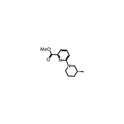 COC(=O)c1cccc(N2CCC[C@H](C)C2)n1